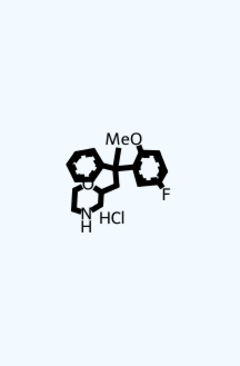 COc1ccc(F)cc1C(C)(CC1CNCCO1)c1ccccc1.Cl